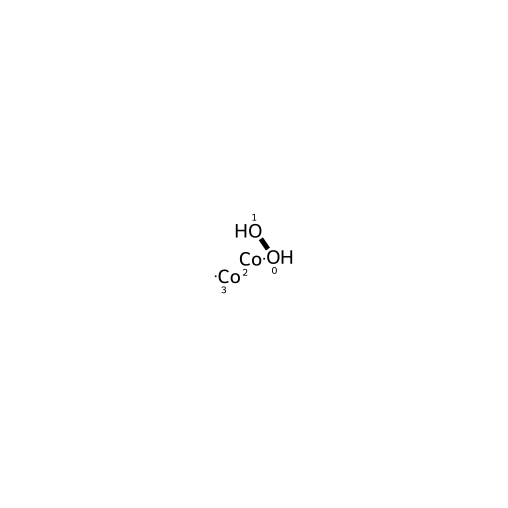 OO.[Co].[Co]